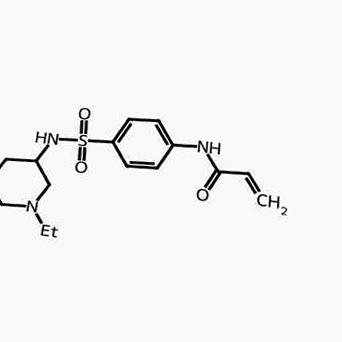 C=CC(=O)Nc1ccc(S(=O)(=O)NC2CCCN(CC)C2)cc1